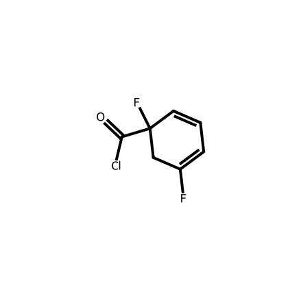 O=C(Cl)C1(F)C=CC=C(F)C1